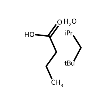 CC(C)CC(C)(C)C.CCCC(=O)O.O